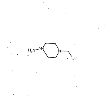 NN1CCN(CO)CC1